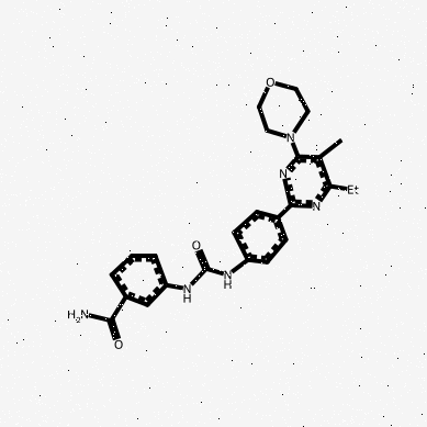 CCc1nc(-c2ccc(NC(=O)Nc3cccc(C(N)=O)c3)cc2)nc(N2CCOCC2)c1C